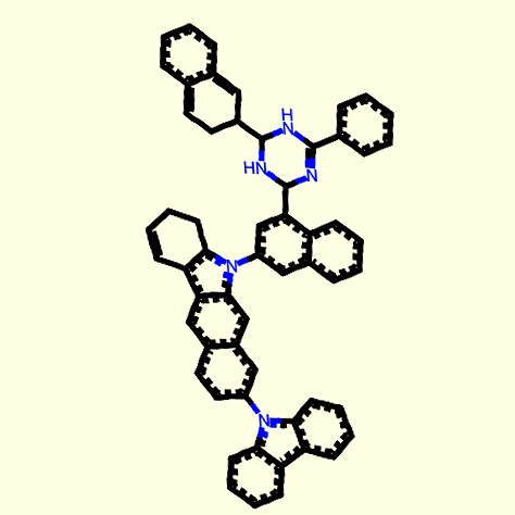 C1=Cc2c(n(-c3cc(C4N=C(c5ccccc5)NC(C5C=c6ccccc6=CC5)N4)c4ccccc4c3)c3cc4cc(-n5c6ccccc6c6ccccc65)ccc4cc23)CC1